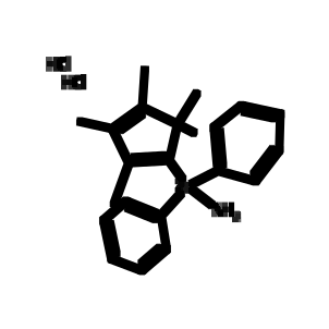 CC1=C(C)C(C)(C)[C]([Zr]([NH2])([c]2ccccc2)[c]2ccccc2)=C1C.Cl.Cl